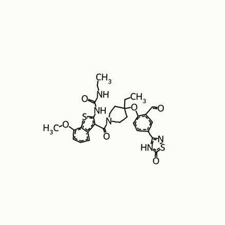 CCNC(=O)Nc1sc2c(OC)cccc2c1C(=O)N1CCC(CC)(Oc2ccc(-c3nsc(=O)[nH]3)cc2C=O)CC1